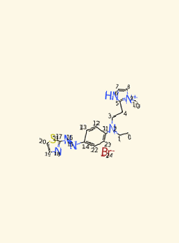 CCN(CCc1[nH]cc[n+]1C)c1ccc(N=Nc2nccs2)cc1.[Br-]